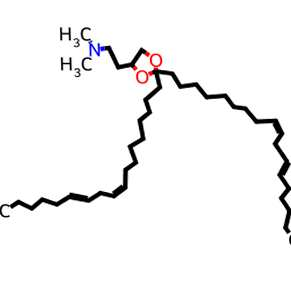 CCCCCC=CC/C=C\CCCCCCCCC1(CCCCCCCC/C=C\CC=CCCCCC)OCC(CCN(C)C)O1